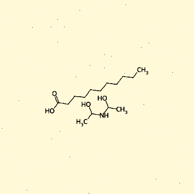 CC(O)NC(C)O.CCCCCCCCCCC(=O)O